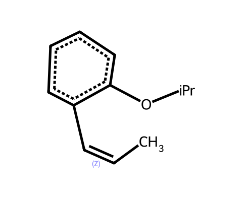 C/C=C\c1ccccc1OC(C)C